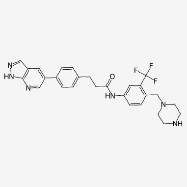 O=C(CCc1ccc(-c2cnc3[nH]ncc3c2)cc1)Nc1ccc(CN2CCNCC2)c(C(F)(F)F)c1